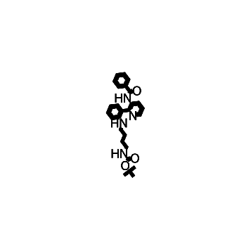 CC(C)(C)OC(=O)NCCCCNc1ccccc1-c1ncccc1NC(=O)c1ccccc1